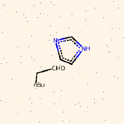 CCCCCC=O.c1c[nH]cn1